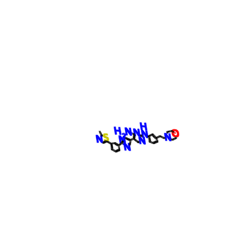 Cc1ncc(-c2cccc(-c3ncc(-c4cnc(Nc5cccc(CCN6CCOCC6)c5)nc4N)cn3)c2)s1